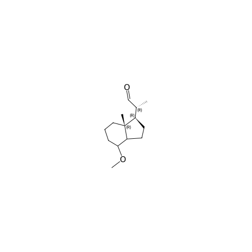 COC1CCC[C@@]2(C)C1CC[C@@H]2[C@@H](C)C=O